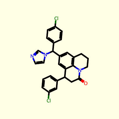 O=C1CC(c2cccc(Cl)c2)c2cc(C(c3ccc(Cl)cc3)n3ccnc3)cc3c2N1CCC3